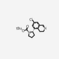 CC(C)(C)OC(=O)N1CCC[C@H]1c1cc(Cl)cc2c1CCN=C2